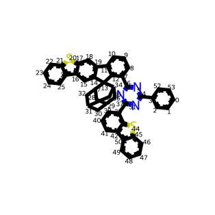 c1ccc(-c2nc(-c3cccc4c3C3(c5cc6c(cc5-4)sc4ccccc46)C4CC5CC(C4)CC3C5)nc(-c3cccc4c3sc3ccccc34)n2)cc1